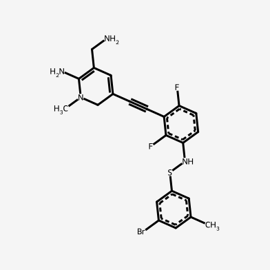 Cc1cc(Br)cc(SNc2ccc(F)c(C#CC3=CC(CN)=C(N)N(C)C3)c2F)c1